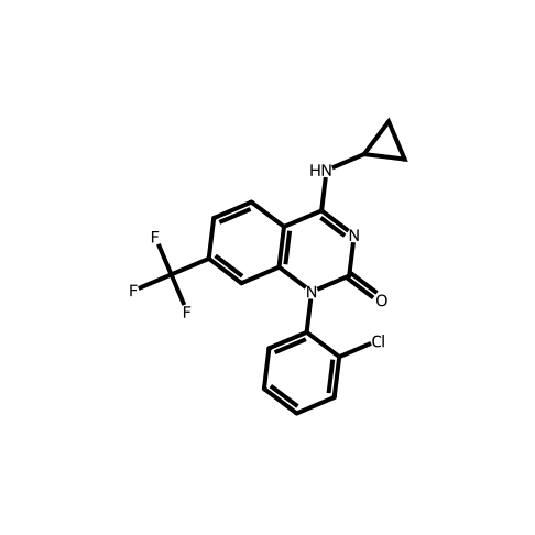 O=c1nc(NC2CC2)c2ccc(C(F)(F)F)cc2n1-c1ccccc1Cl